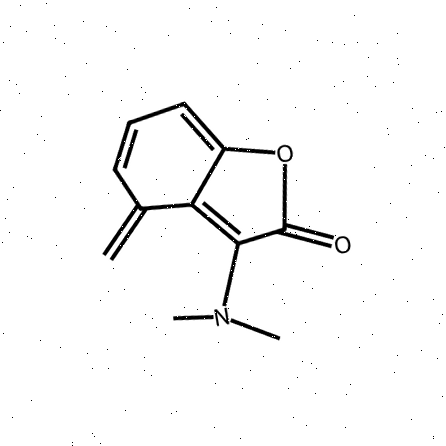 C=c1cccc2c1=C(N(C)C)C(=O)O2